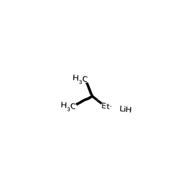 C[CH]C(C)C.[LiH]